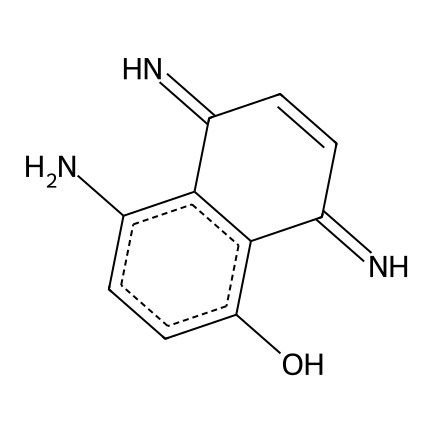 N=C1C=CC(=N)c2c(O)ccc(N)c21